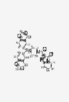 O=C(N1CCN(C(c2ccc3c(c2)COCO3)c2ccc3c(c2)COCO3)CC1)n1nc2ccccn2c1=O